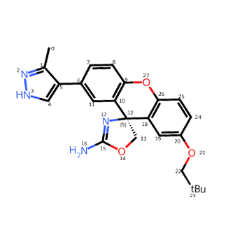 Cc1n[nH]cc1-c1ccc2c(c1)[C@@]1(COC(N)=N1)c1cc(OCC(C)(C)C)ccc1O2